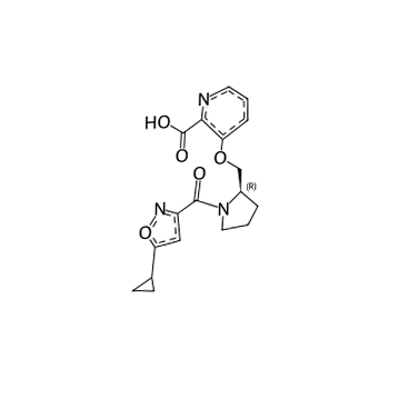 O=C(O)c1ncccc1OC[C@H]1CCCN1C(=O)c1cc(C2CC2)on1